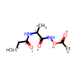 CCCCCCCCCC(=O)NC(C)C(=O)NOC(=O)CC